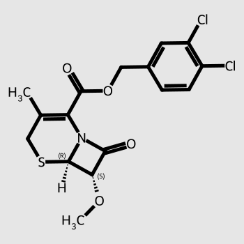 CO[C@H]1C(=O)N2C(C(=O)OCc3ccc(Cl)c(Cl)c3)=C(C)CS[C@H]12